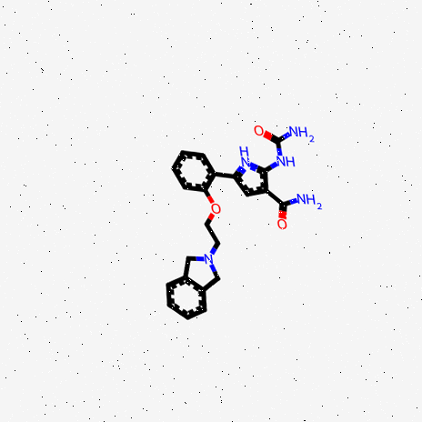 NC(=O)Nc1[nH]c(-c2ccccc2OCCN2Cc3ccccc3C2)cc1C(N)=O